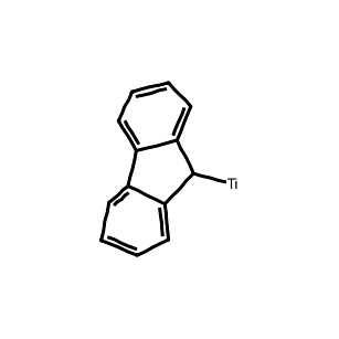 [Ti][CH]1c2ccccc2-c2ccccc21